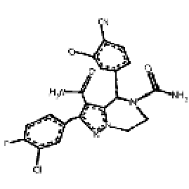 N#Cc1ccc(C2c3c(C(N)=O)c(-c4ccc(F)c(Cl)c4)nn3CCN2C(N)=O)cc1Cl